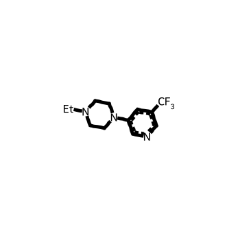 CCN1CCN(c2cncc(C(F)(F)F)c2)CC1